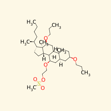 CCCC[C@H](C)[C@H]1CC[C@H]2[C@@H]3[C@H](OCCOS(C)(=O)=O)C[C@@H]4C[C@H](OCCC)CC[C@]4(C)[C@H]3C[C@H](OCCC)[C@]12C